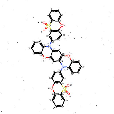 O=S1(=O)c2ccccc2Oc2ccc(-n3c4ccccc4oc4cc5c(cc43)oc3ccccc3n5-c3ccc4c(c3)S(=O)(=O)c3ccccc3O4)cc21